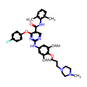 COc1cc(Nc2ncc(C(=O)Nc3c(C)cccc3C)c(Oc3ccc(F)cc3)n2)cc(OC)c1OCCCN1CCN(C)CC1